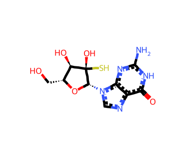 Nc1nc2c(ncn2[C@@H]2O[C@H](CO)[C@@H](O)[C@]2(O)S)c(=O)[nH]1